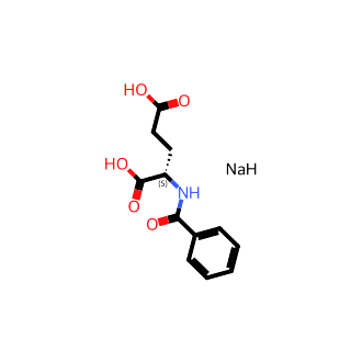 O=C(O)CC[C@H](NC(=O)c1ccccc1)C(=O)O.[NaH]